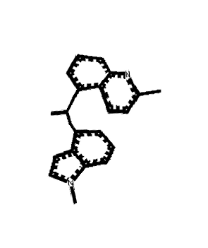 Cc1ccc2c(C(C)c3cccc4c3ccn4C)cccc2n1